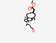 CCOC(=O)/C=C1\CCCCC2[C@H](CCC3(C)[C@@H](C(C)CCC=O)CC[C@@H]23)C(C)CC1